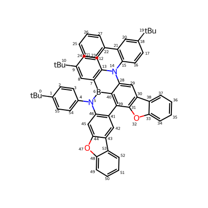 CC(C)(C)c1ccc(N2B3c4cc(C(C)(C)C)ccc4N(c4ccc(C(C)(C)C)cc4-c4ccccc4)c4cc5c(oc6ccccc65)c(c43)-c3cc4c(cc32)oc2ccccc24)cc1